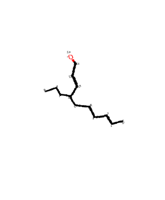 CCCCCCC(CCC)CCC[O]